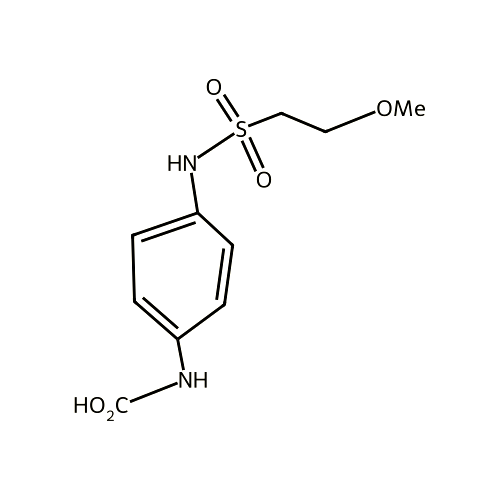 COCCS(=O)(=O)Nc1ccc(NC(=O)O)cc1